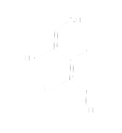 CC/C(C)=C(Cl)/C(C)=C\N